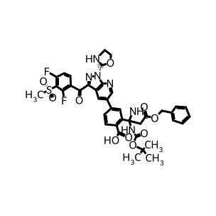 CC(C)(C)OC(=O)NC(N)(CC(=O)OCc1ccccc1)c1cc(-c2cnc3c(c2)c(C(=O)c2ccc(F)c(S(C)(=O)=O)c2F)nn3[C@@H]2NCCO2)ccc1C(=O)O